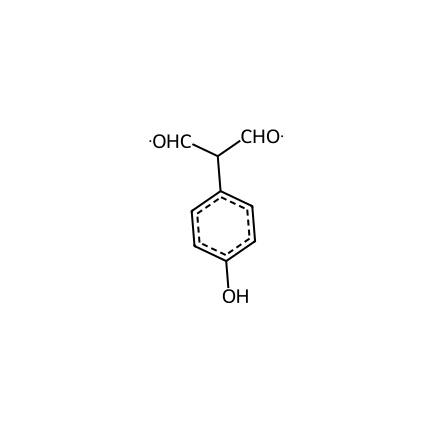 O=[C]C([C]=O)c1ccc(O)cc1